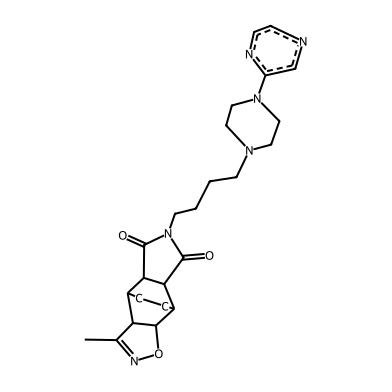 CC1=NOC2C3CCC(C12)C1C(=O)N(CCCCN2CCN(c4cnccn4)CC2)C(=O)C31